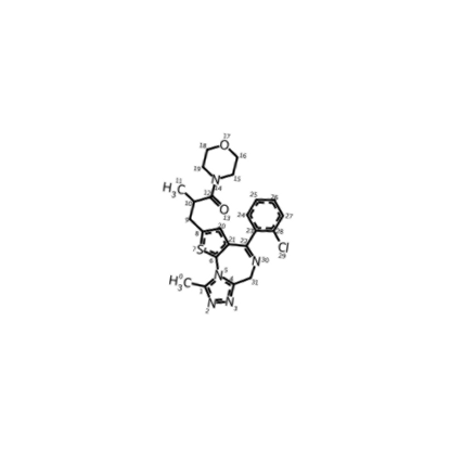 Cc1nnc2n1-c1sc(CC(C)C(=O)N3CCOCC3)cc1C(c1ccccc1Cl)=NC2